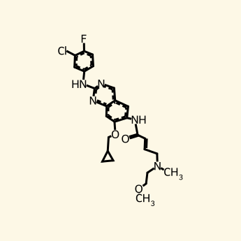 COCCN(C)CC=CC(=O)Nc1cc2cnc(Nc3ccc(F)c(Cl)c3)nc2cc1OCC1CC1